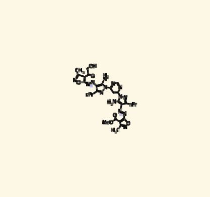 CCCc1nn(-c2cc(-n3nc(CCC)c(/N=N/c4onc(C)c4C(=O)OC)c3N)ncn2)c(N)c1/N=N/c1onc(C)c1C(=O)CO